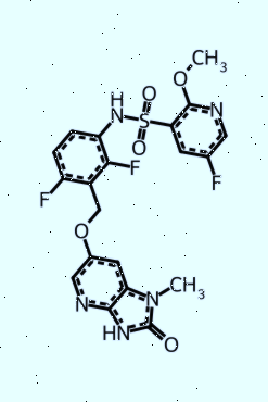 COc1ncc(F)cc1S(=O)(=O)Nc1ccc(F)c(COc2cnc3[nH]c(=O)n(C)c3c2)c1F